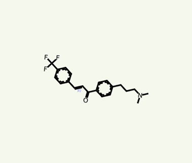 CN(C)CCCc1ccc(C(=O)/C=C/c2ccc(C(F)(F)F)cc2)cc1